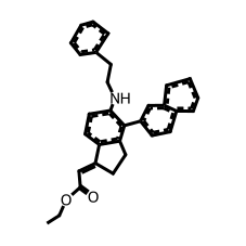 CCOC(=O)C=C1CCc2c1ccc(NCCc1ccccc1)c2-c1ccc2ccccc2c1